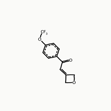 O=C(C=C1COC1)c1ccc(OC(F)(F)F)cc1